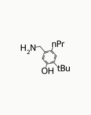 CCCc1cc(C(C)(C)C)c(O)cc1CN